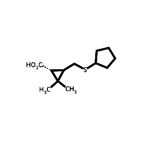 CC1(C)C(CSC2CCCC2)[C@H]1C(=O)O